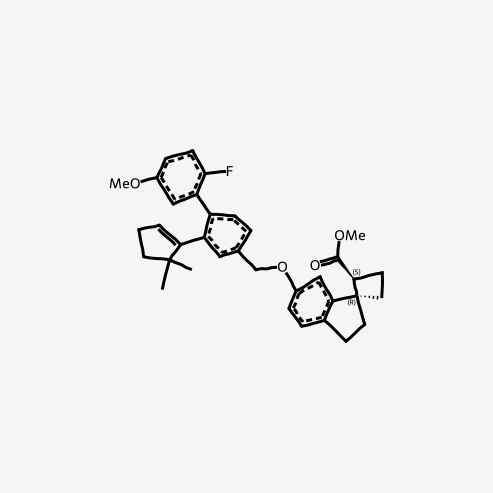 COC(=O)[C@H]1CC[C@@]12CCc1ccc(OCc3ccc(-c4cc(OC)ccc4F)c(C4=CCCC4(C)C)c3)cc12